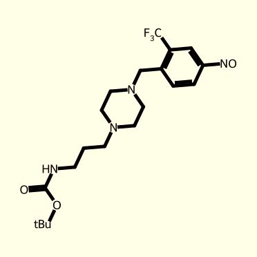 CC(C)(C)OC(=O)NCCCN1CCN(Cc2ccc(N=O)cc2C(F)(F)F)CC1